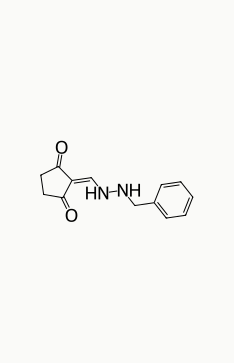 O=C1CCC(=O)C1=CNNCc1ccccc1